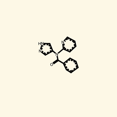 O=C(c1ccccc1)N(c1cn[nH]c1)c1ccccn1